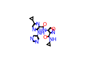 O=C(NC1CC1)c1nocc1NC(=O)c1nc(C2CC2)cnc1Nc1cncnc1